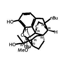 CCCCN1CC[C@]23c4c5ccc(O)c4O[C@H]2[C@]2(OC)CC[C@@]3(C[C@@H]2[C@](C)(O)C(C)(C)C)[C@H]1C5